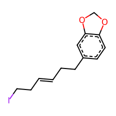 ICC/C=C/CCc1ccc2c(c1)OCO2